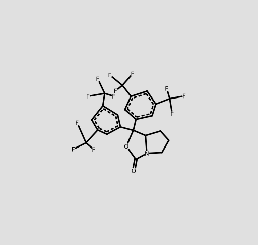 O=C1OC(c2cc(C(F)(F)F)cc(C(F)(F)F)c2)(c2cc(C(F)(F)F)cc(C(F)(F)F)c2)C2CCCN12